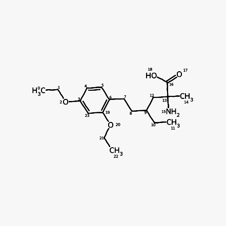 CCOc1ccc(CCC(CC)CC(C)(N)C(=O)O)c(OCC)c1